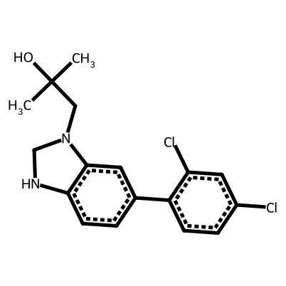 CC(C)(O)CN1CNc2ccc(-c3ccc(Cl)cc3Cl)cc21